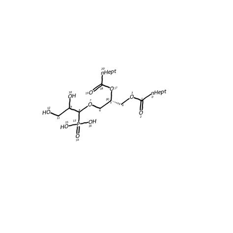 CCCCCCCC(=O)OC[C@H](COC(C(O)CO)P(=O)(O)O)OC(=O)CCCCCCC